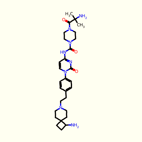 CC(C)(N)C(=O)N1CCN(C(=O)Nc2ccn(-c3ccc(CCN4CCC5(CCC5N)CC4)cc3)c(=O)n2)CC1